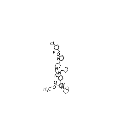 CCOC(=O)c1cn(C2CCCCO2)nc1-c1ccc2c(c1)nc(CN1CCC(c3cccc(OCc4ccc(Cl)cc4F)n3)CC1)n2C[C@@H]1CCO1